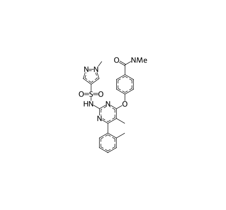 CNC(=O)c1ccc(Oc2nc(NS(=O)(=O)c3cnn(C)c3)nc(-c3ccccc3C)c2C)cc1